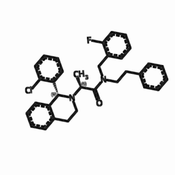 C[C@@H](C(=O)N(CCc1ccccc1)Cc1ccccc1F)N1CCc2ccccc2[C@@H]1c1ccccc1Cl